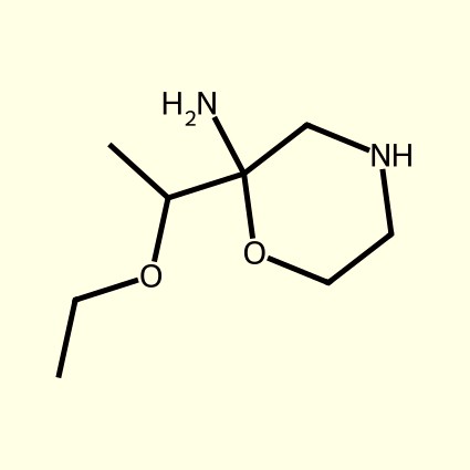 CCOC(C)C1(N)CNCCO1